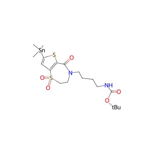 CC(C)(C)OC(=O)NCCCCN1CCS(=O)(=O)c2c[c]([Sn]([CH3])([CH3])[CH3])sc2C1=O